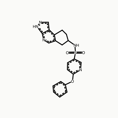 O=S(=O)(NC1CCc2c(cnc3[nH]ncc23)C1)c1ccc(Oc2ccccc2)nc1